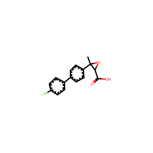 CC1(c2ccc(-c3ccc(F)cc3)cc2)OC1C(=O)O